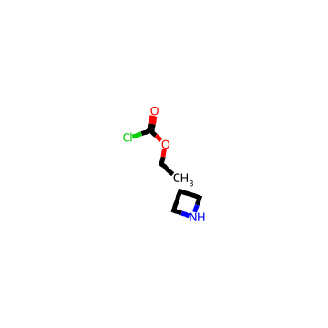 C1CNC1.CCOC(=O)Cl